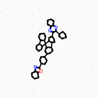 c1ccc(-c2nc3ccccc3nc2-c2ccc3c(c2)C2(c4ccccc4-c4ccccc42)c2cc(-c4ccc(-c5nc6ccccc6o5)cc4)ccc2-3)cc1